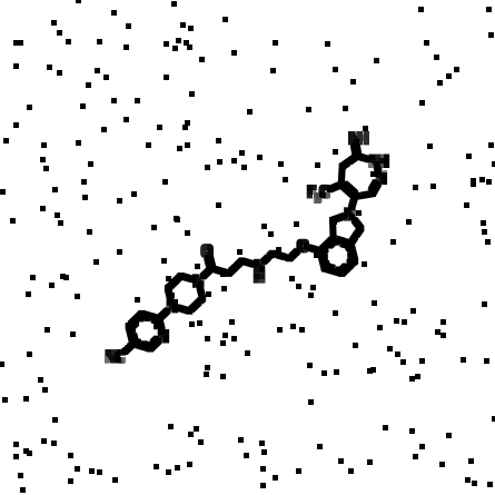 N#Cc1ccc(N2CCN(C(=O)CCNCCOc3cccc4c3CN(C3=C(C(F)(F)F)CC(=N)NN=C3)C4)CC2)nc1